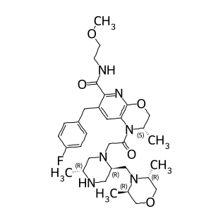 COCCNC(=O)c1nc2c(cc1Cc1ccc(F)cc1)N(C(=O)CN1C[C@@H](C)NC[C@@H]1CN1[C@H](C)COC[C@H]1C)[C@@H](C)CO2